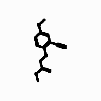 COC(=O)COc1ccc(OC)cc1C#N